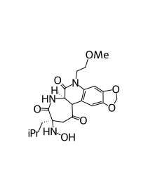 COCCN1C(=O)[C@@H]2NC(=O)[C@](CC(C)C)(NO)CC(=O)C2c2cc3c(cc21)OCO3